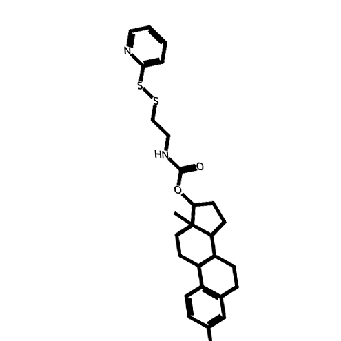 CC12CCC3c4ccc(O)cc4CCC3C1CCC2OC(=O)NCCSSc1ccccn1